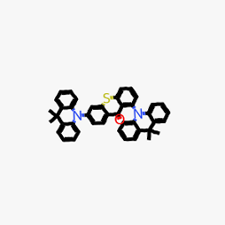 CC1(C)c2ccccc2N(c2ccc3c(=O)c4c(N5c6ccccc6C(C)(C)c6ccccc65)cccc4sc3c2)c2ccccc21